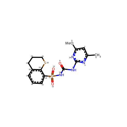 COc1cc(C)nc(NC(=O)NS(=O)(=O)c2cccc3c2SCCC3)n1